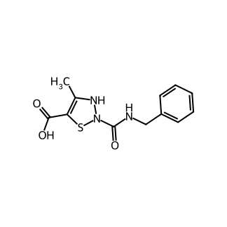 CC1=C(C(=O)O)SN(C(=O)NCc2ccccc2)N1